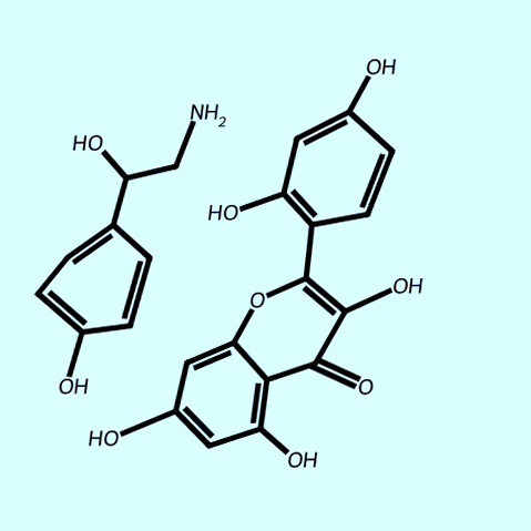 NCC(O)c1ccc(O)cc1.O=c1c(O)c(-c2ccc(O)cc2O)oc2cc(O)cc(O)c12